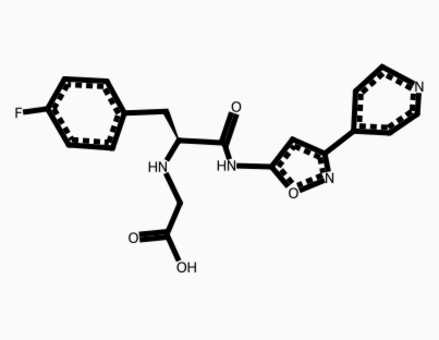 O=C(O)CN[C@@H](Cc1ccc(F)cc1)C(=O)Nc1cc(-c2ccncc2)no1